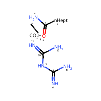 CC(=O)O.CCCCCCCC(N)=O.N=C(N)NC(=N)N